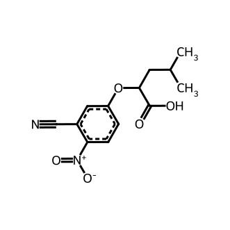 CC(C)CC(Oc1ccc([N+](=O)[O-])c(C#N)c1)C(=O)O